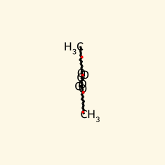 CCCCCCCCCCCCOC(=O)OCCOC(=O)OCCCCCCCCCCCC